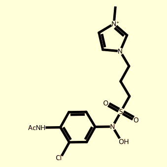 CC(=O)Nc1ccc(N(O)S(=O)(=O)CCCn2cc[n+](C)c2)cc1Cl